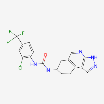 O=C(Nc1ccc(C(F)(F)F)cc1Cl)NC1CCc2c(cnc3[nH]ncc23)C1